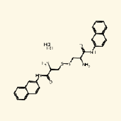 Cl.Cl.NC(CSSCC(N)C(=O)Nc1ccc2ccccc2c1)C(=O)Nc1ccc2ccccc2c1